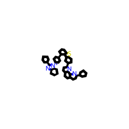 C1=CC2=NC(c3ccccc3)=[N+](c3ccc(-c4cccc5sc6ccc(-c7ccc8ccc9ccc(-c%10ccccc%10)nc9c8n7)cc6c45)cc3)C2C=C1